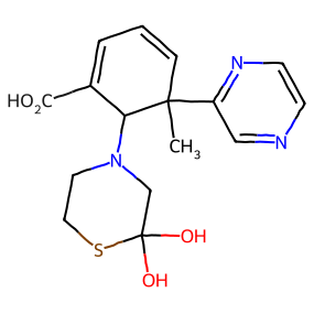 CC1(c2cnccn2)C=CC=C(C(=O)O)C1N1CCSC(O)(O)C1